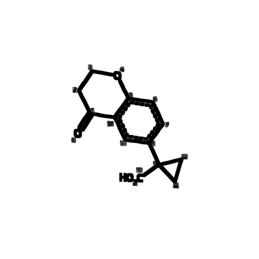 O=C1CCOc2ccc(C3(C(=O)O)CC3)cc21